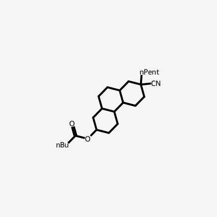 CCCCCC1(C#N)CCC2C(CCC3CC(OC(=O)CCCC)CCC32)C1